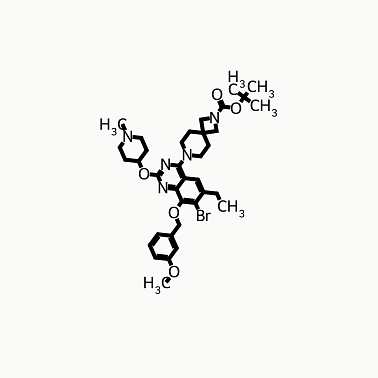 CCc1cc2c(N3CCC4(CC3)CN(C(=O)OC(C)(C)C)C4)nc(OC3CCN(C)CC3)nc2c(OCc2cccc(OC)c2)c1Br